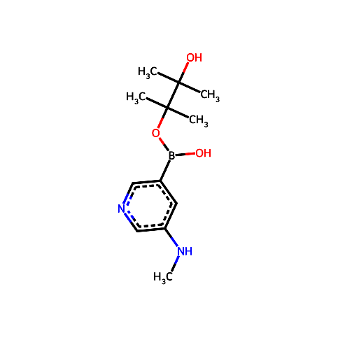 CNc1cncc(B(O)OC(C)(C)C(C)(C)O)c1